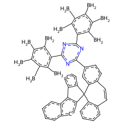 Bc1c(B)c(B)c(-c2nc(-c3ccc4c(c3)C3(c5ccccc5C=C4)c4ccccc4-c4c3ccc3ccccc43)nc(-c3c(B)c(B)c(B)c(B)c3B)n2)c(B)c1B